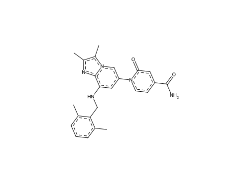 Cc1cccc(C)c1CNc1cc(-n2ccc(C(N)=O)cc2=O)cn2c(C)c(C)nc12